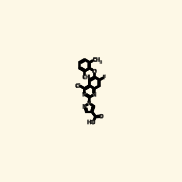 Cc1cccc(C)c1Oc1cc2c(Cl)nc(-n3cc(C(=O)O)cn3)nc2cc1F